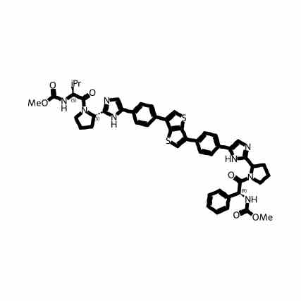 COC(=O)N[C@H](C(=O)N1CCC[C@H]1c1ncc(-c2ccc(-c3csc4c(-c5ccc(-c6cnc(C7CCCN7C(=O)[C@H](NC(=O)OC)c7ccccc7)[nH]6)cc5)csc34)cc2)[nH]1)C(C)C